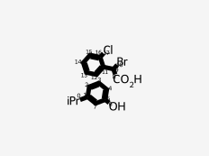 CC(C)c1cccc(O)c1.O=C(O)C(Br)c1ccccc1Cl